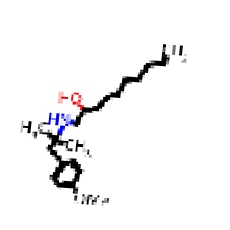 C=CCCCCCCC(O)CNC(C)(C)Cc1ccc(OC)cc1